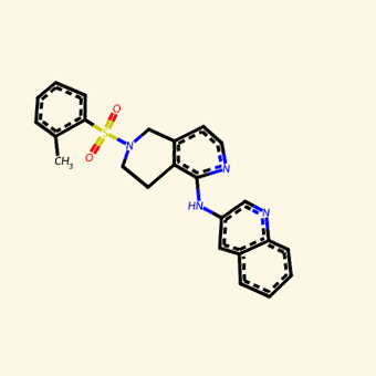 Cc1ccccc1S(=O)(=O)N1CCc2c(ccnc2Nc2cnc3ccccc3c2)C1